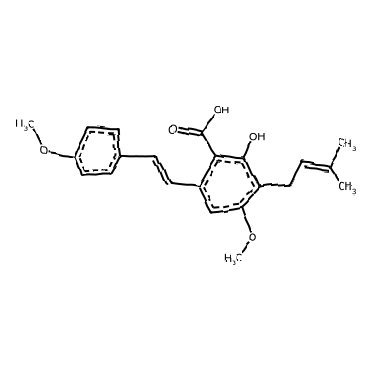 COc1ccc(/C=C/c2cc(OC)c(CC=C(C)C)c(O)c2C(=O)O)cc1